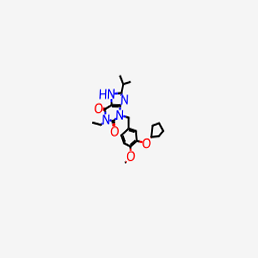 CCn1c(=O)c2[nH]c(C(C)C)nc2n(Cc2ccc(OC)c(OC3CCCC3)c2)c1=O